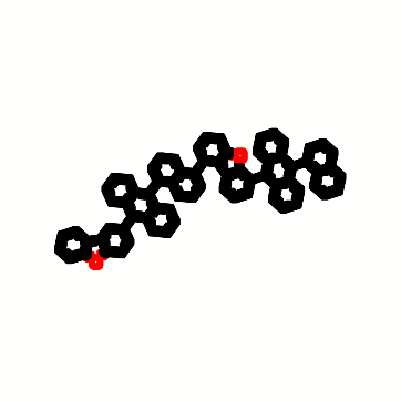 c1ccc2c(-c3c4ccccc4c(-c4cccc5c4oc4cccc(-c6cccc7c(-c8c9ccccc9c(-c9ccc%10oc%11ccccc%11c%10c9)c9ccccc89)cccc67)c45)c4ccccc34)cccc2c1